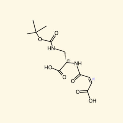 CC(C)(C)OC(=O)NC[C@H](NC(=O)/C=C\C(=O)O)C(=O)O